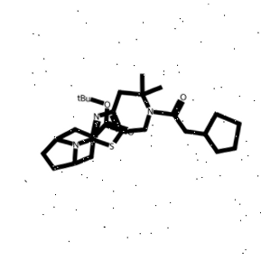 CC(C)(C)OC(=O)N1CC2CCC(C1)N2c1nc2c(s1)CN(C(=O)CC1CCCC1)C(C)(C)C2